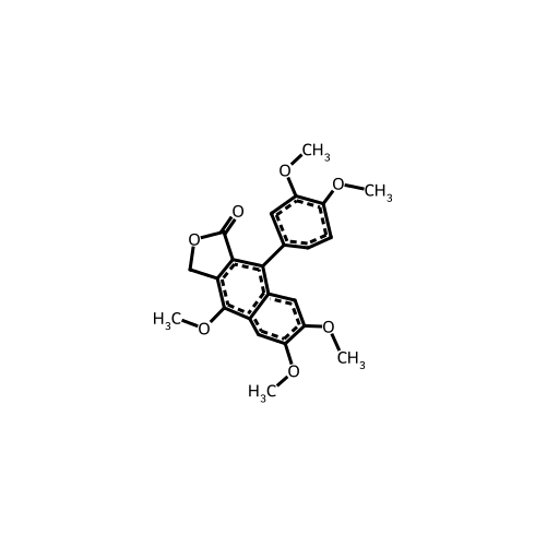 COc1ccc(-c2c3c(c(OC)c4cc(OC)c(OC)cc24)COC3=O)cc1OC